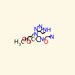 COC(=O)/C=C/CN(c1ncnc2[nH]ccc12)C1CN(C(=O)CC#N)CC[C@H]1C